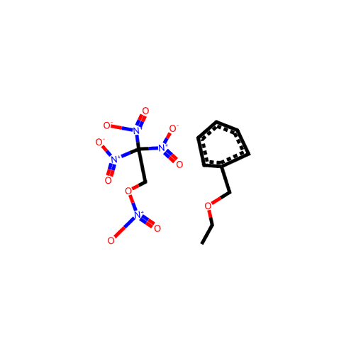 CCOCc1ccccc1.O=[N+]([O-])OCC([N+](=O)[O-])([N+](=O)[O-])[N+](=O)[O-]